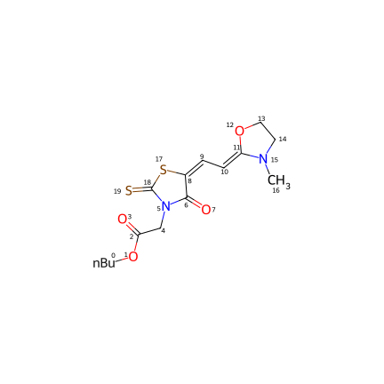 CCCCOC(=O)CN1C(=O)/C(=C\C=C2/OCCN2C)SC1=S